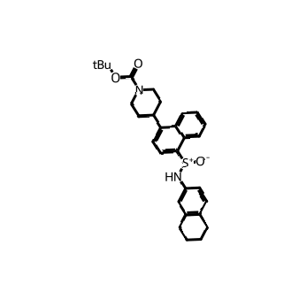 CC(C)(C)OC(=O)N1CCC(c2ccc([S+]([O-])Nc3ccc4c(c3)CCCC4)c3ccccc23)CC1